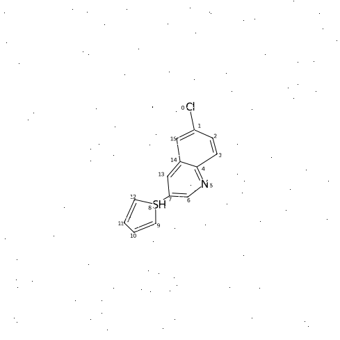 Clc1ccc2ncc([SH]3C=CC=C3)cc2c1